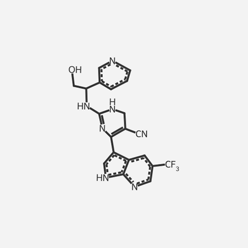 N#CC1=C(c2c[nH]c3ncc(C(F)(F)F)cc23)N=C(NC(CO)c2cccnc2)NC1